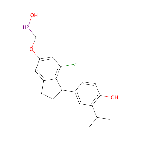 CC(C)c1cc(C2CCc3cc(OCPO)cc(Br)c32)ccc1O